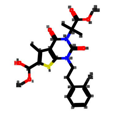 CCOC(O)c1sc2c(c1C)c(=O)n(C(C)(C)C(=O)OC(C)(C)C)c(=O)n2CCc1ccccc1CC